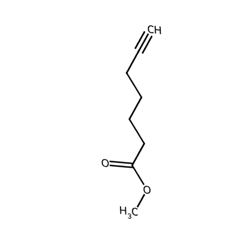 C#CCCCCC(=O)OC